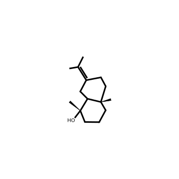 CC(C)=C1CC[C@]2(C)CCC[C@](C)(O)C2C1